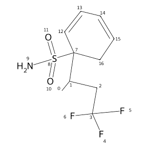 CC(CC(F)(F)F)C1(S(N)(=O)=O)C=CC=CC1